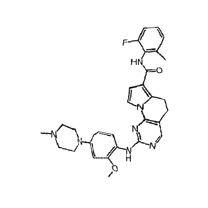 COc1cc(N2CCN(C)CC2)ccc1Nc1ncc2c(n1)-n1ccc(C(=O)Nc3c(C)cccc3F)c1CC2